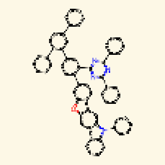 c1ccc(-c2ccc(-c3ccccc3)c(-c3ccc(-c4ccc5c(c4)oc4cc6c7ccccc7n(-c7ccccc7)c6cc45)c(-c4nc(-c5ccccc5)nc(-c5ccccc5)n4)c3)c2)cc1